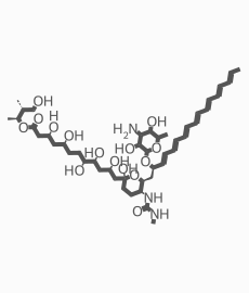 C/C=C/C=C/C=C/C=C/C=C/C=C/C=C/[C@@H](C[C@@H]1O[C@](O)(C[C@@H](O)C[C@@H](O)[C@H](O)CC[C@@H](O)C[C@@H](O)CC(=O)O[C@@H](C)[C@H](C)CO)CC[C@H]1NC(=O)NC)OC1OC(C)C(O)C(N)C1O